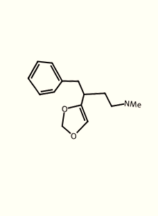 CNCCC(Cc1ccccc1)C1=COCO1